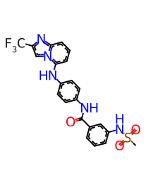 CS(=O)(=O)Nc1cccc(C(=O)Nc2ccc(Nc3cccc4nc(C(F)(F)F)cn34)cc2)c1